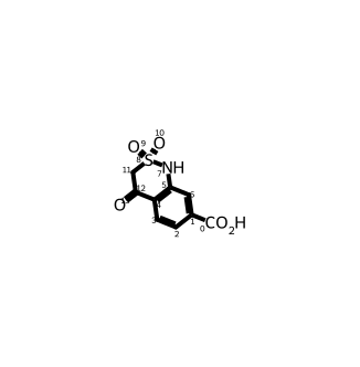 O=C(O)c1ccc2c(c1)NS(=O)(=O)CC2=O